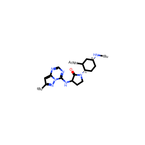 CC(=O)NC1C[C@H](NC(C)(C)C)CC[C@@H]1N1CCC(Nc2ncnc3cc(C(C)(C)C)nn23)C1=O